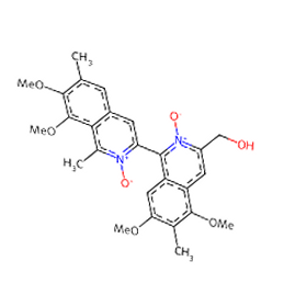 COc1cc2c(-c3cc4cc(C)c(OC)c(OC)c4c(C)[n+]3[O-])[n+]([O-])c(CO)cc2c(OC)c1C